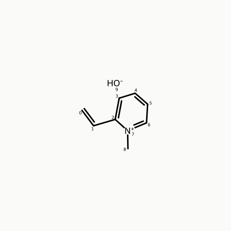 C=Cc1cccc[n+]1C.[OH-]